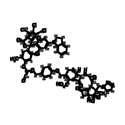 Cc1cc2c(cc1OC(=C=O)OCc1ccc(OCC3=C(C(=O)O)N4C(=O)[C@@H](NC5OC5[C@@H]5N6C(=O)C[C@H]6S(=O)(=O)C5(C)Cn5ccnn5)[C@H]4SC3)cc1)Oc1cc(N3CCc4ccccc43)ccc1C21OC(=O)c2c(Cl)c(Cl)c(Cl)c(Cl)c21